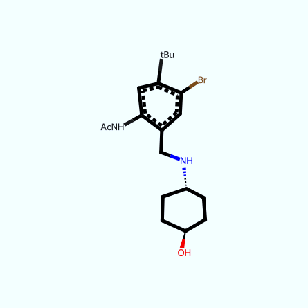 CC(=O)Nc1cc(C(C)(C)C)c(Br)cc1CN[C@H]1CC[C@H](O)CC1